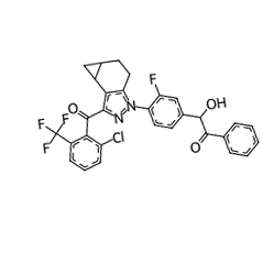 O=C(c1nn(-c2ccc(C(O)C(=O)c3ccccc3)cc2F)c2c1C1CC1CC2)c1c(Cl)cccc1C(F)(F)F